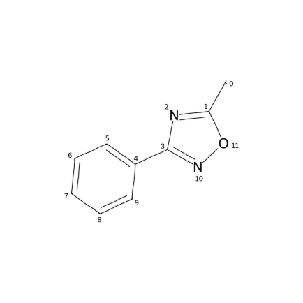 [CH2]c1nc(-c2ccccc2)no1